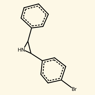 Brc1ccc(C2NC2c2ccccc2)cc1